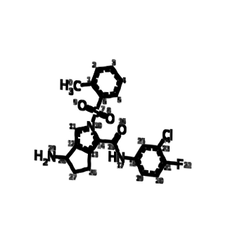 Cc1ccccc1S(=O)(=O)n1cc2c(c1C(=O)Nc1ccc(F)c(Cl)c1)CCC2N